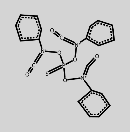 O=C=[N+](OP(=S)(O[N+](=C=O)c1ccccc1)O[N+](=C=O)c1ccccc1)c1ccccc1